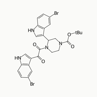 CC(C)(C)OC(=O)N1CCN(C(=O)C(=O)c2c[nH]c3ccc(Br)cc23)C(c2c[nH]c3ccc(Br)cc23)C1